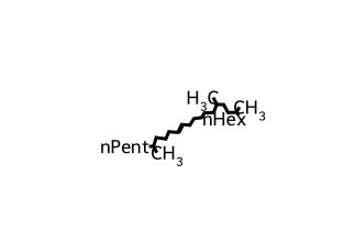 [CH2]CCCCCC(C)CCC(C)CCCCCC=CCCCC(C)CCCC[CH2]